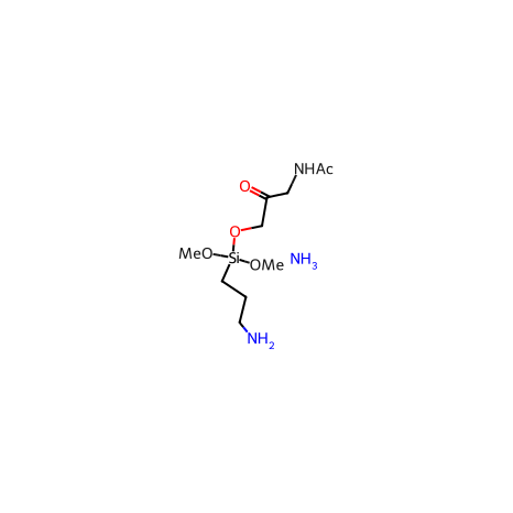 CO[Si](CCCN)(OC)OCC(=O)CNC(C)=O.N